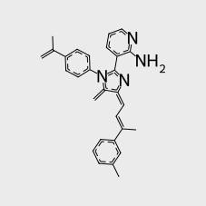 C=C(C)c1ccc(-n2c(-c3cccnc3N)n/c(=C/C=C(\C)c3cccc(C)c3)c2=C)cc1